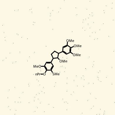 CCCOc1c(OC)cc(C2CCC(c3cc(OC)c(OC)c(OC)c3)C2OC)cc1SC